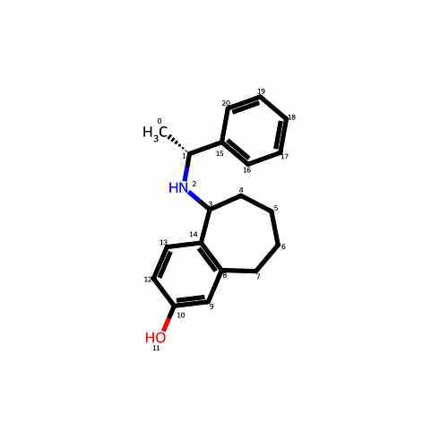 C[C@@H](NC1CCCCc2cc(O)ccc21)c1ccccc1